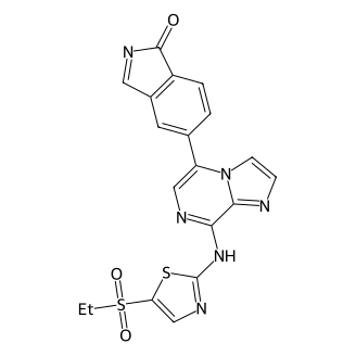 CCS(=O)(=O)c1cnc(Nc2ncc(-c3ccc4c(c3)C=NC4=O)n3ccnc23)s1